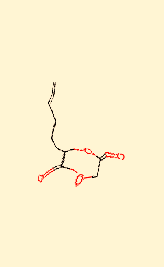 C=CCCC1OC(=O)COC1=O